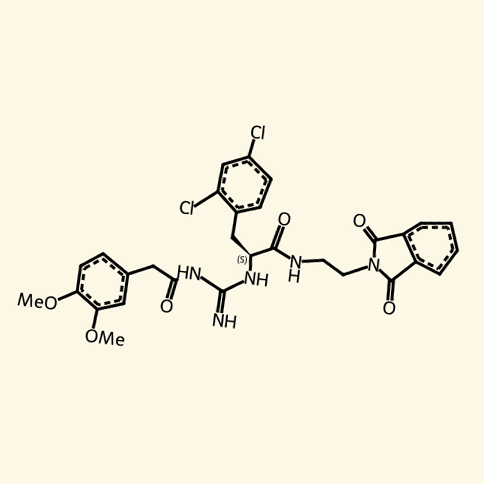 COc1ccc(CC(=O)NC(=N)N[C@@H](Cc2ccc(Cl)cc2Cl)C(=O)NCCN2C(=O)c3ccccc3C2=O)cc1OC